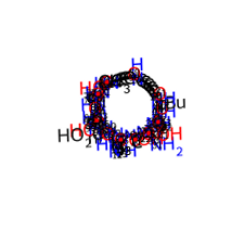 CCC[C@@H]1NC(=O)[C@H](Cc2c[nH]c3ncccc23)NC(=O)[C@H]([C@@H](C)O)NC(=O)[C@H](CCCCN)NC(=O)[C@H](Cc2ccc(O)cc2)NC(=O)[C@H](C(C)(C)C)NC(=O)CCCCCNC(=O)CCCCNC(=O)[C@H]([C@@H](C)O)NC(=O)[C@H](C2CCCCC2)NC(=O)C(Cc2ccc(O)cc2)NC(=O)[C@H](CCC(=O)O)NC1=O